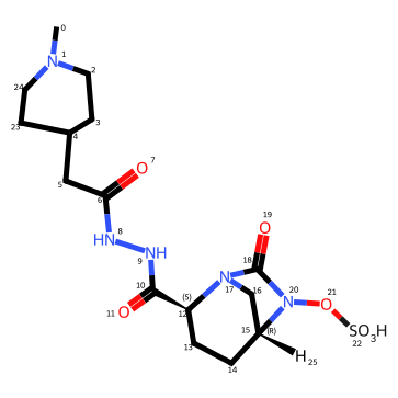 CN1CCC(CC(=O)NNC(=O)[C@@H]2CC[C@@H]3CN2C(=O)N3OS(=O)(=O)O)CC1